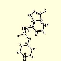 Cc1csc2c(N[C@@H](C)CC3CCNCC3)ncnc12